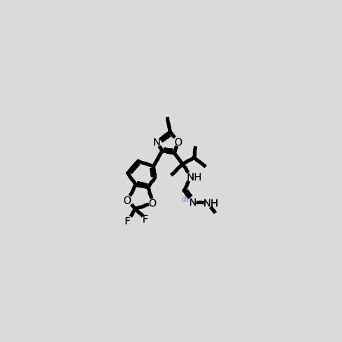 CN/N=C\NC(C)(c1oc(C)nc1-c1ccc2c(c1)OC(F)(F)O2)C(C)C